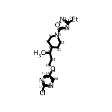 CCc1noc(N2CCC(C(C)CCOc3cnc(Cl)nc3)CC2)n1